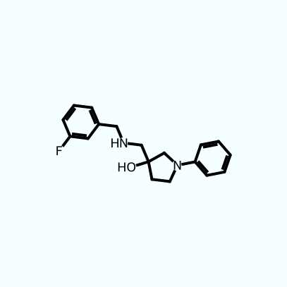 OC1(CNCc2cccc(F)c2)CCN(c2ccccc2)C1